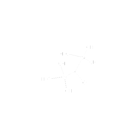 C[Si](C)(C)[CH]([Cr])[Si](C)(C)C